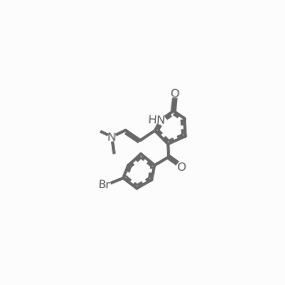 CN(C)C=Cc1[nH]c(=O)ccc1C(=O)c1ccc(Br)cc1